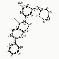 CC1c2cnc(-c3ncccn3)nc2CCN1c1cc(OC2CCOCC2)cc(F)n1